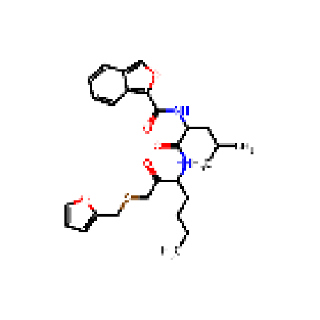 CCCCC(NC(=O)C(CC(C)C)NC(=O)c1occ2ccccc12)C(=O)CSCc1ccco1